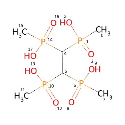 CP(=O)(O)C(C(P(C)(=O)O)P(C)(=O)O)P(C)(=O)O